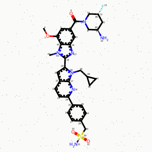 COc1cc(C(=O)N2C[C@H](N)C[C@@H](F)C2)cc2nc(-c3cc4ccc(-c5ccc(CS(N)(=O)=O)cc5)nc4n3CC3CC3)n(C)c12